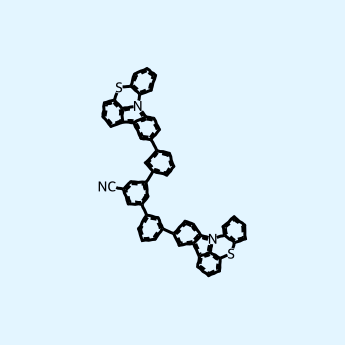 N#Cc1cc(-c2cccc(-c3ccc4c(c3)c3cccc5c3n4-c3ccccc3S5)c2)cc(-c2cccc(-c3ccc4c(c3)c3cccc5c3n4-c3ccccc3S5)c2)c1